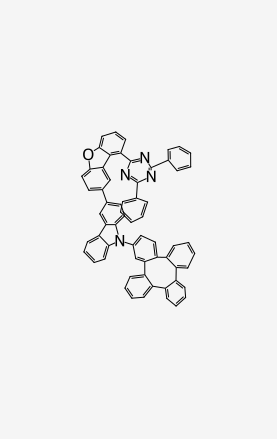 c1ccc(-c2nc(-c3ccccc3)nc(-c3cccc4oc5ccc(-c6ccc7c(c6)c6ccccc6n7-c6ccc7c(c6)-c6ccccc6-c6ccccc6-c6ccccc6-7)cc5c34)n2)cc1